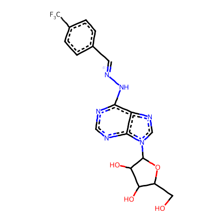 OCC1OC(n2cnc3c(N/N=C/c4ccc(C(F)(F)F)cc4)ncnc32)C(O)C1O